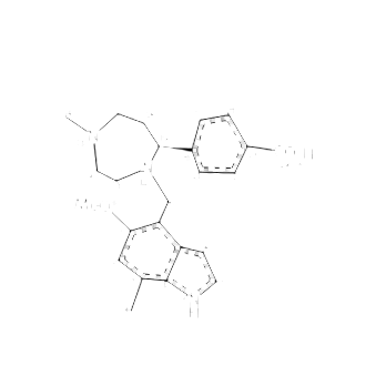 COc1cc(C)c2[nH]ccc2c1CN1CCN(C)CC[C@H]1c1ccc(C(=O)O)cc1